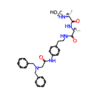 C[C@@H](NC(=O)O)C(=O)N[C@H](C)C(=O)NCCc1ccc(NC(=O)CN(Cc2ccccc2)Cc2ccccc2)cc1